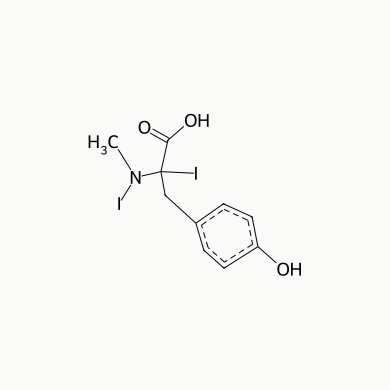 CN(I)C(I)(Cc1ccc(O)cc1)C(=O)O